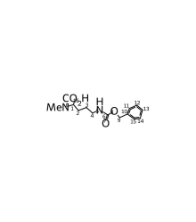 CNC(CCCNC(=O)OCc1ccccc1)C(=O)O